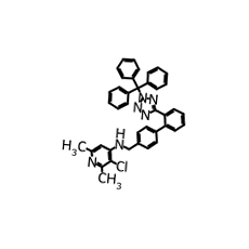 Cc1cc(NCc2ccc(-c3ccccc3-c3nnn(C(c4ccccc4)(c4ccccc4)c4ccccc4)n3)cc2)c(Cl)c(C)n1